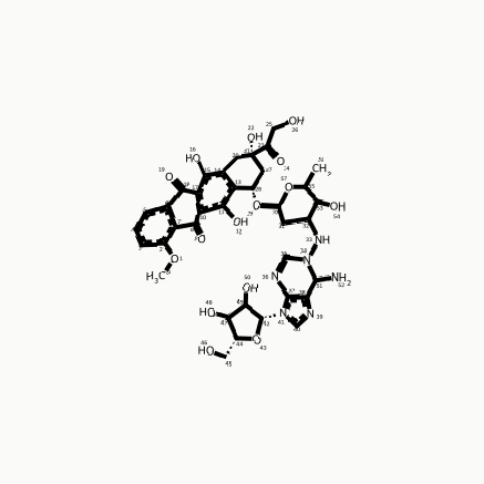 COc1cccc2c1C(=O)c1c(O)c3c(c(O)c1C2=O)C[C@@](O)(C(=O)CO)C[C@@H]3OC1CC(NN2C=Nc3c(ncn3[C@@H]3O[C@H](CO)C(O)C3O)C2N)C(O)C(C)O1